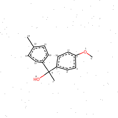 COc1ccc(C(C)(O)c2ccc(C)cc2)cc1